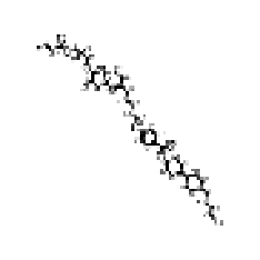 CC=CC(=O)OCC(C)(C)COC(=O)C(C)CC(=O)OC(CC)CCCCCOc1ccc(C(=O)OC2CCC(C3CCC(CCCCC)CC3)CC2)cc1